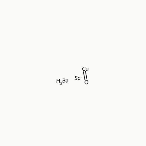 [BaH2].[O]=[Cu].[Sc]